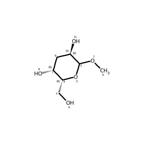 COC1O[C@H](CO)[C@H](O)C[C@H]1O